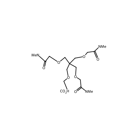 CNC(=O)COCC(COCC(=O)O)(COCC(=O)NC)COCC(=O)NC